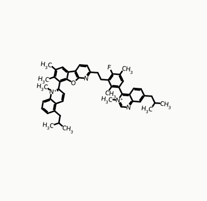 Cc1cc2c(oc3nc(CCc4c(C)c(-c5c6ccc(CC(C)C)cc6nc[n+]5C)cc(C)c4F)ccc32)c(-c2ccc3c(CC(C)C)cccc3[n+]2C)c1C